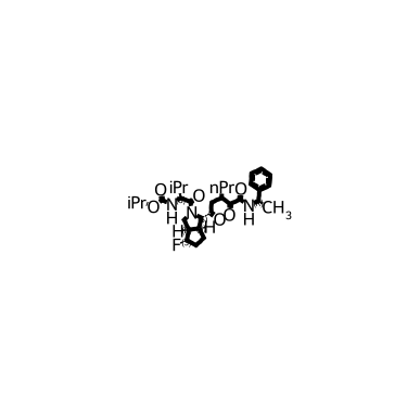 CCCC(CC(=O)[C@@H]1[C@H]2CC[C@H](F)[C@H]2CN1C(=O)[C@@H](NC(=O)OC(C)C)C(C)C)C(=O)C(=O)N[C@H](C)c1ccccc1